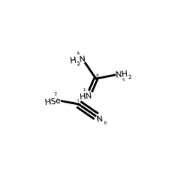 N#C[SeH].N=C(N)N